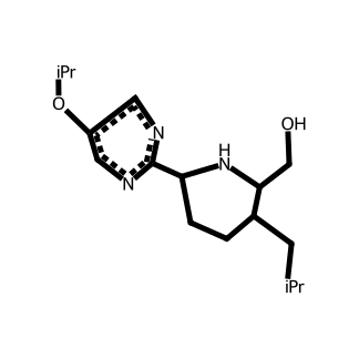 CC(C)CC1CCC(c2ncc(OC(C)C)cn2)NC1CO